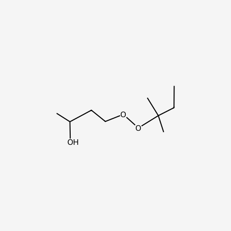 CCC(C)(C)OOCCC(C)O